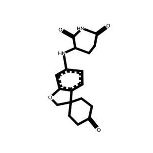 O=C1CCC2(CC1)COc1cc(NC3CCC(=O)NC3=O)ccc12